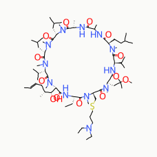 C/C=C/C[C@@H](C)[C@@H](O)[C@H]1C(=O)N[C@@H](CC)C(=O)N(C)[C@H](CSCCCN(CC)CC)C(=O)N(C)[C@@H](CC(C)(C)OC)C(=O)N[C@H](C(C)C)C(=O)N(C)[C@H](CCC(C)C)C(=O)NC(C)C(=O)N[C@@H](C)C(=O)N(C)[C@@H](CC(C)C)C(=O)N(C)[C@@H](CC(C)C)C(=O)N(C)[C@@H](C(C)C)C(=O)N1C